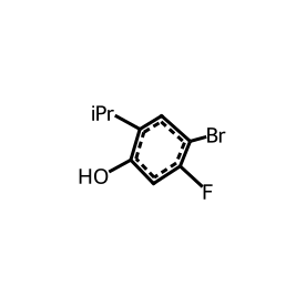 CC(C)c1cc(Br)c(F)cc1O